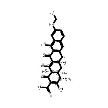 CC(C)(C)CNc1ccc2cc3c(c(O)c2c1)C(=O)C1=C(O)[C@]2(O)C(=O)C(C(N)=O)=C(O)[C@@H](N)[C@@H]2C[C@@H]1C3